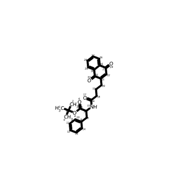 CC(C)(C)OC(=O)C(Cc1ccccc1)NC(=O)CCCC1=CC(=O)c2ccccc2C1=O